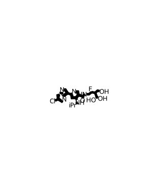 CC(C)Nc1cc(-c2cnn3cc(Cl)cnc23)ncc1C(=O)NCC(F)C(CO)C(O)O